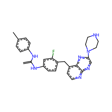 C=C(Nc1ccc(C)cc1)Nc1ccc(Cc2ccnc3ncc(N4CCNCC4)nc23)c(F)c1